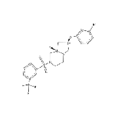 O=S(=O)(c1cccc(C(F)(F)F)c1)N1CCN2C[C@H](Oc3cccc(Br)n3)C[C@H]2C1